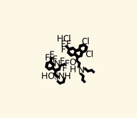 CCCCN(CCCC)CCC(O)c1cc2c(Cl)cc(Cl)cc2c2cc(C(F)(F)F)ccc12.Cl.O[C@@H](c1cc(C(F)(F)F)nc2c(C(F)(F)F)cccc12)[C@H]1CCCCN1